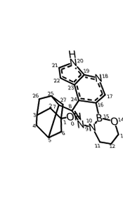 OC12CC3CC(C1)C(C1=NN4CCCOB4c4cnc5[nH]ccc5c41)C(C3)C2